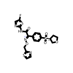 O=C(Nc1ncc(F)s1)/C(=N/OCc1nccs1)c1ccc(S(=O)(=O)[C@H]2CCOC2)cc1